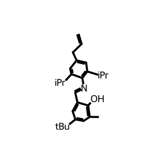 C=CCc1cc(C(C)C)c(N=Cc2cc(C(C)(C)C)cc(C)c2O)c(C(C)C)c1